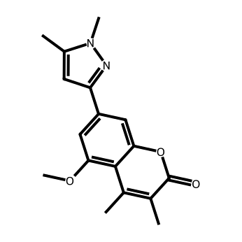 COc1cc(-c2cc(C)n(C)n2)cc2oc(=O)c(C)c(C)c12